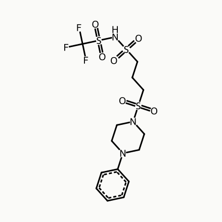 O=S(=O)(CCCS(=O)(=O)N1CCN(c2ccccc2)CC1)NS(=O)(=O)C(F)(F)F